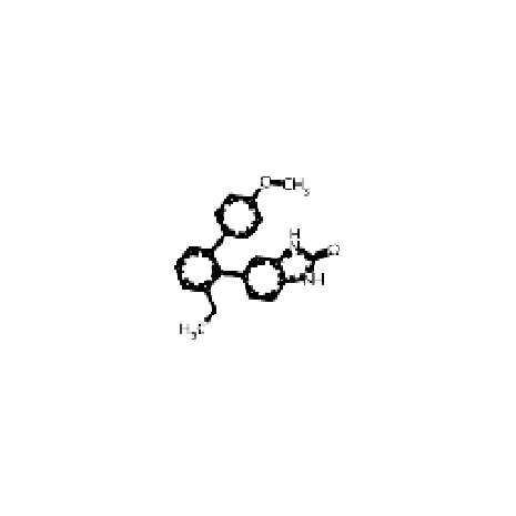 CCc1cccc(-c2ccc(OC)cc2)c1-c1ccc2[nH]c(=O)[nH]c2c1